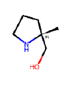 C[C@]1(CO)CCCN1